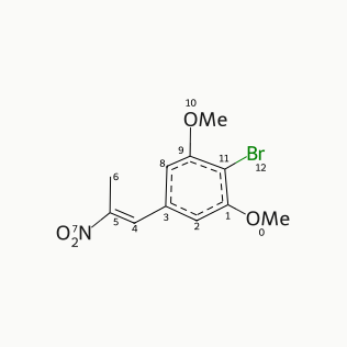 COc1cc(C=C(C)[N+](=O)[O-])cc(OC)c1Br